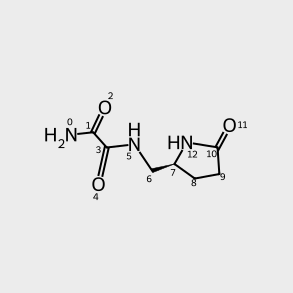 NC(=O)C(=O)NC[C@@H]1CCC(=O)N1